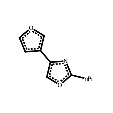 CCCc1nc(-c2ccoc2)co1